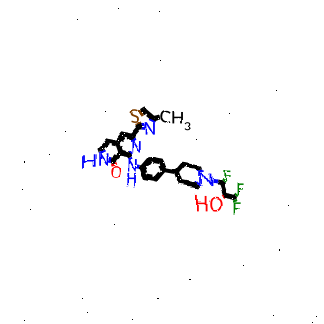 Cc1csc(-c2cc3cc[nH]c(=O)c3c(Nc3ccc(C4CCN(C(F)C(O)C(F)F)CC4)cc3)n2)n1